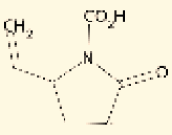 C=CC1C[CH]C(=O)N1C(=O)O